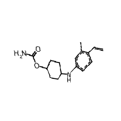 C=Cc1ccc(NC2CCC(OC(N)=O)CC2)cc1C